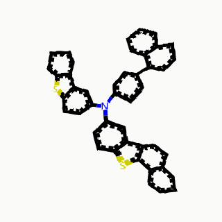 c1ccc2c(-c3ccc(N(c4ccc5sc6ccccc6c5c4)c4ccc5sc6c7ccccc7ccc6c5c4)cc3)cccc2c1